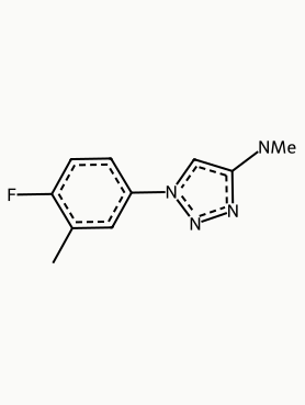 CNc1cn(-c2ccc(F)c(C)c2)nn1